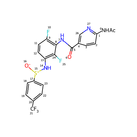 CC(=O)Nc1ccc(C(=O)Nc2c(F)ccc(N[S+]([O-])c3ccc(C(F)(F)F)cc3)c2F)cn1